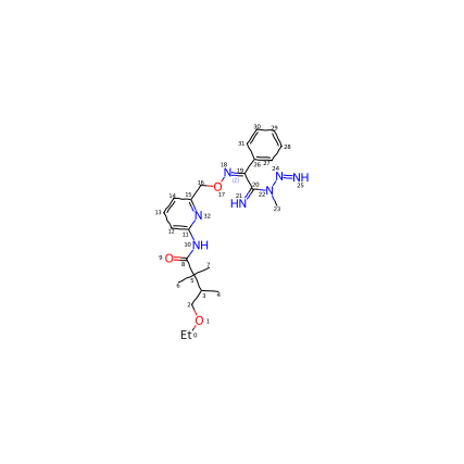 CCOCC(C)C(C)(C)C(=O)Nc1cccc(CO/N=C(\C(=N)N(C)N=N)c2ccccc2)n1